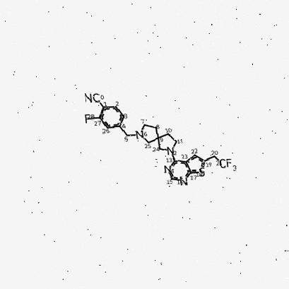 N#Cc1ccc(CN2CCC3(CCN(c4ncnc5sc(CC(F)(F)F)cc45)C3)C2)cc1F